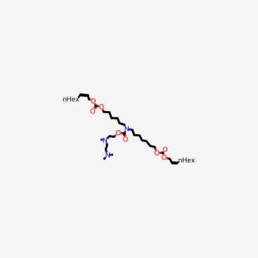 CCCCCC/C=C\COC(=O)OCCCCCCCN(CCCCCCOC(=O)OC/C=C\CCCCCC)C(=O)OCCN(C)CCN(C)C